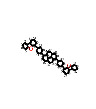 c1ccc2c(c1)oc1c(-c3ccc(-c4ccc5ccc6c(-c7ccc(-c8cccc9c8oc8ccccc89)cc7)ccc7ccc4c5c76)cc3)cccc12